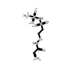 C=CC(=O)NOCCS(=O)(=O)NS(C)(=O)=O